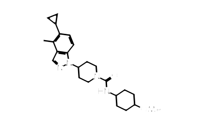 COC1CCC(NC(=O)N2CCC(n3ncc4c(C)c(C5CC5)ccc43)CC2)CC1